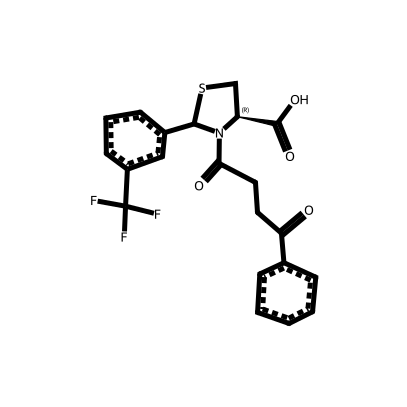 O=C(CCC(=O)N1C(c2cccc(C(F)(F)F)c2)SC[C@H]1C(=O)O)c1ccccc1